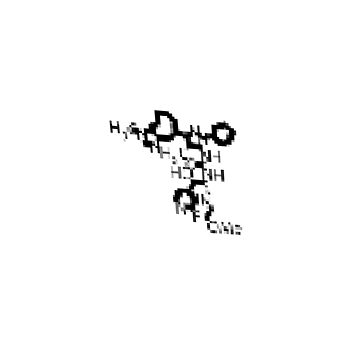 COCCNC[C@@H](NC(=O)Nc1c(C)c(C2=C/CC/C=c3/c(ncn3C)=C\2)nn1-c1ccccc1)[C@@H](O)c1ccnc(F)c1